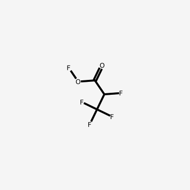 O=C(OF)C(F)C(F)(F)F